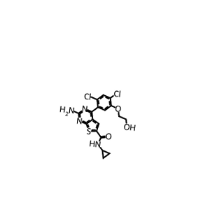 Nc1nc(-c2cc(OCCO)c(Cl)cc2Cl)c2cc(C(=O)NC3CC3)sc2n1